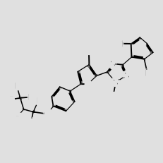 Cc1cc(-c2ccc(OC(F)(F)C(F)C(F)(F)F)cc2)sc1-c1nc(-c2c(F)cccc2Cl)nn1C